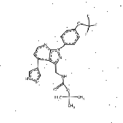 CC(C)(C)OC(=O)NCc1nn(-c2ccc(OC(F)(F)F)cc2)c2nccc(-c3cn[nH]c3)c12